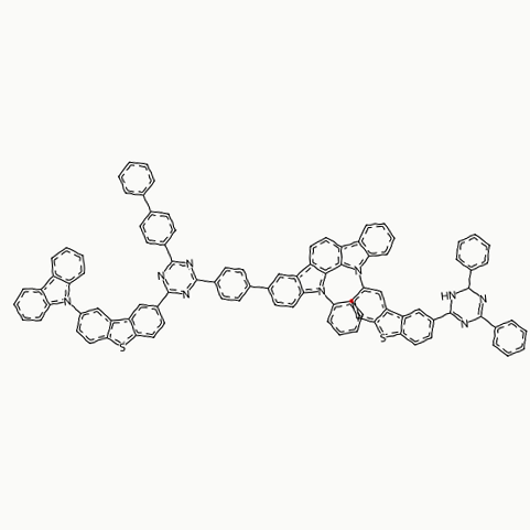 c1ccc(C2=NC(c3ccccc3)NC(c3ccc4sc5ccc(-n6c7ccccc7c7ccc8c9cc(-c%10ccc(-c%11nc(-c%12ccc(-c%13ccccc%13)cc%12)nc(-c%12ccc%13sc%14ccc(-n%15c%16ccccc%16c%16ccccc%16%15)cc%14c%13c%12)n%11)cc%10)ccc9n(-c9ccccc9)c8c76)cc5c4c3)=N2)cc1